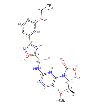 C[C@H](Nc1nccc(N2C(=O)OC[C@@H]2[C@@H](C)OC(C)(C)C)n1)c1nc(-c2cccc(OCC(F)(F)F)c2)no1